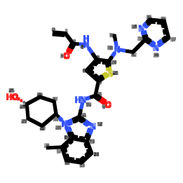 C=CC(=O)Nc1cc(C(=O)Nc2nc3cccc(C)c3n2[C@H]2CC[C@H](O)CC2)sc1N(C)Cc1ncccn1